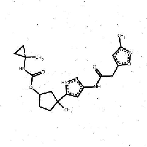 Cc1cc(CC(=O)Nc2cc(C3(C)CCC(OC(=O)NC4(C)CC4)C3)[nH]n2)on1